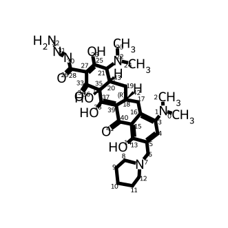 CN(C)c1cc(CN2CCCCC2)c(O)c2c1C[C@H]1C[C@H]3C(N(C)C)C(O)=C(C(=O)N=NN)C(=O)[C@@]3(O)C(O)=C1C2=O